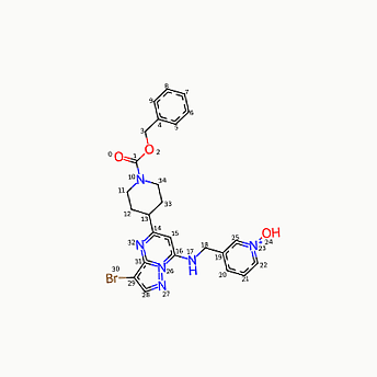 O=C(OCc1ccccc1)N1CCC(c2cc(NCc3ccc[n+](O)c3)n3ncc(Br)c3n2)CC1